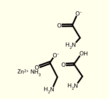 N.NCC(=O)O.NCC(=O)[O-].NCC(=O)[O-].[Zn+2]